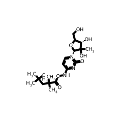 CC(C)(C)CC(C)(C)C(=O)ONc1ccn([C@@H]2OC(CO)[C@H](O)C2(C)O)c(=O)n1